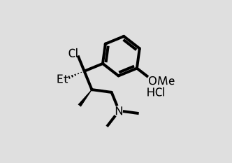 CC[C@](Cl)(c1cccc(OC)c1)[C@H](C)CN(C)C.Cl